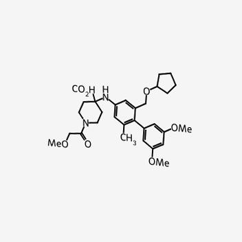 COCC(=O)N1CCC(Nc2cc(C)c(-c3cc(OC)cc(OC)c3)c(COC3CCCC3)c2)(C(=O)O)CC1